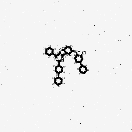 Clc1cc(-c2ccccc2)ccc1Nc1ccc2sc3c(-c4ccccc4)nc(-c4ccc(-c5ccccc5)cc4)nc3c2c1